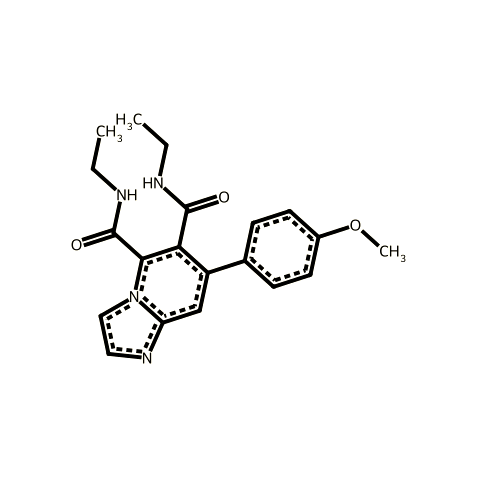 CCNC(=O)c1c(-c2ccc(OC)cc2)cc2nccn2c1C(=O)NCC